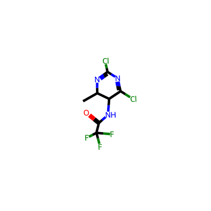 CC1N=C(Cl)N=C(Cl)C1NC(=O)C(F)(F)F